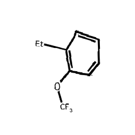 CCc1ccc[c]c1OC(F)(F)F